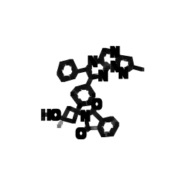 Cc1cc2ncc3nc(-c4ccccc4)c(-c4ccc([C@]5(N6C(=O)c7ccccc7C6=O)C[C@](C)(O)C5)cc4)nc3n2n1